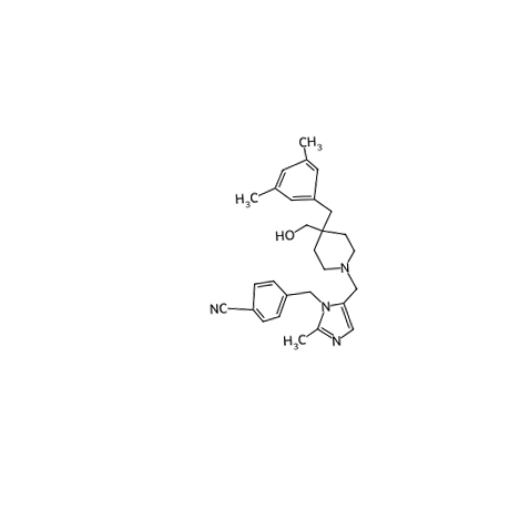 Cc1cc(C)cc(CC2(CO)CCN(Cc3cnc(C)n3Cc3ccc(C#N)cc3)CC2)c1